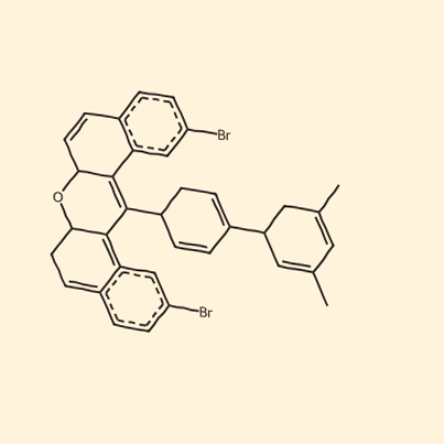 CC1=CC(C2=CCC(C3=C4c5cc(Br)ccc5C=CC4OC4CC=c5ccc(Br)cc5=C34)C=C2)CC(C)=C1